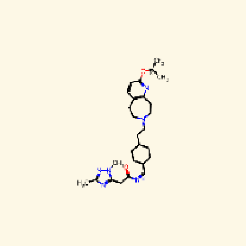 Cc1nc(CC(=O)/N=C\C2CCC(CCN3CCc4ccc(O[C@H](C)C(F)(F)F)nc4CC3)CC2)n(C)n1